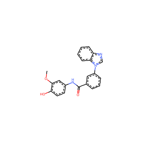 COc1cc(NC(=O)c2cccc(-n3cnc4ccccc43)c2)ccc1O